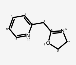 c1ccc(CC2=NCCO2)nc1